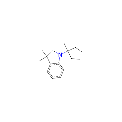 CCC(C)(CC)N1CC(C)(C)c2ccccc21